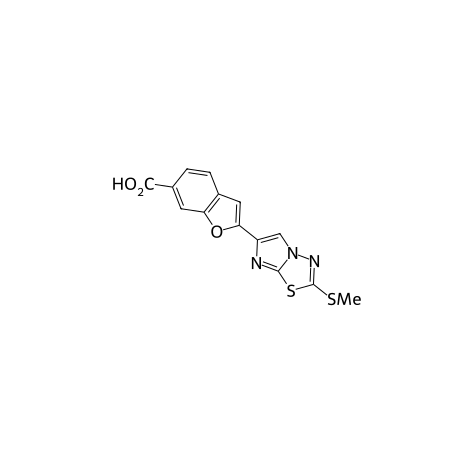 CSc1nn2cc(-c3cc4ccc(C(=O)O)cc4o3)nc2s1